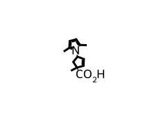 Cc1ccc(C)n1[C@@H]1C=C[C@](C)(C(=O)O)C1